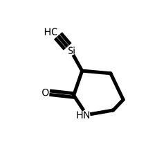 C#[Si]C1CCCNC1=O